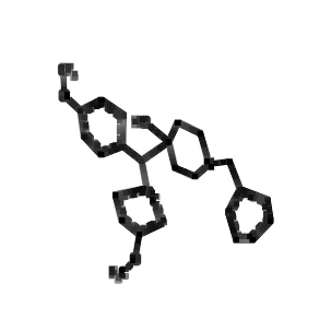 OC1(C(c2ccc(OC(F)(F)F)cc2)c2ccc(OC(F)(F)F)cc2)CCN(Cc2ccccc2)CC1